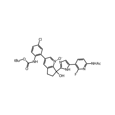 CC(=O)Nc1ccc(-c2cnc(C3(O)CCc4cc(-c5cc(Cl)ccc5NC(=O)OC(C)(C)C)c[n+]([O-])c43)[nH]2)c(F)n1